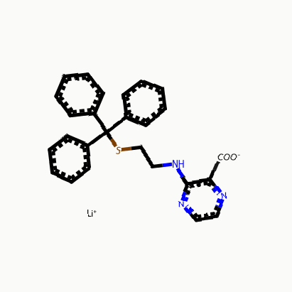 O=C([O-])c1nccnc1NCCSC(c1ccccc1)(c1ccccc1)c1ccccc1.[Li+]